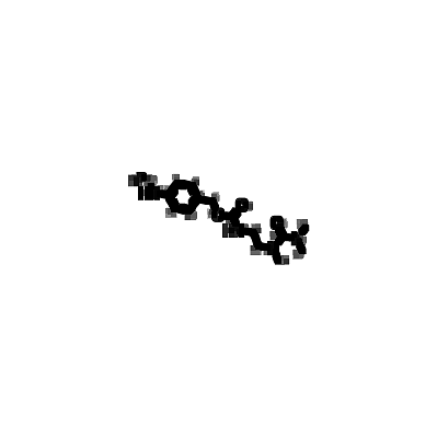 CCCNc1ccc(COC(=O)NCCN(C)C(=O)N(C)C)cc1